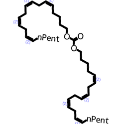 CCCCC/C=C\C/C=C\C/C=C\C/C=C\CCCCOC(=O)OCCCC/C=C\C/C=C\C/C=C\C/C=C\CCCCC